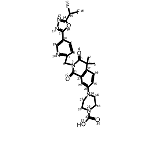 CC1(C)C(=O)N(Cc2ccc(-c3nnc(C(F)F)o3)cn2)C(=O)c2cc(N3CCN(C(=O)O)CC3)ccc21